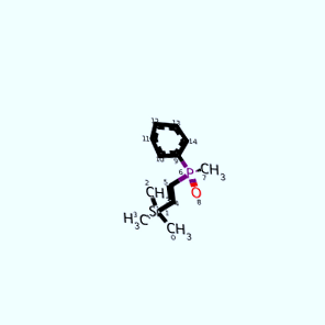 C[Si](C)(C)/C=C/[P@](C)(=O)c1ccccc1